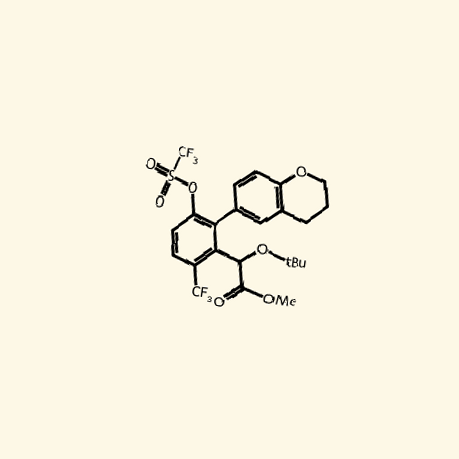 COC(=O)C(OC(C)(C)C)c1c(C(F)(F)F)ccc(OS(=O)(=O)C(F)(F)F)c1-c1ccc2c(c1)CCCO2